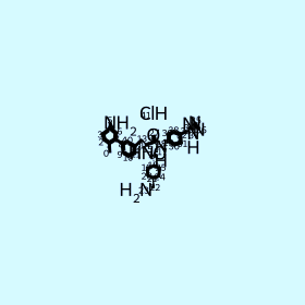 Cc1ccc(N)cc1-c1cccc(C[C@H](NC(=O)[C@H]2CC[C@H](CN)CC2)C(=O)Nc2ccc(-c3nnn[nH]3)cc2)c1.Cl